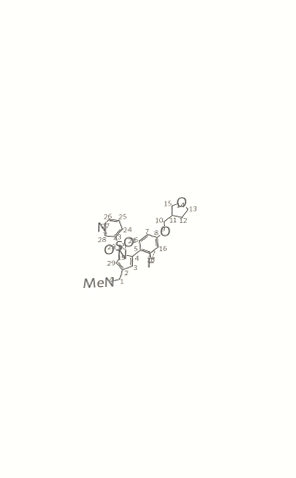 CNCc1cc(-c2ccc(OCC3CCOC3)cc2F)n(S(=O)(=O)c2cccnc2)c1